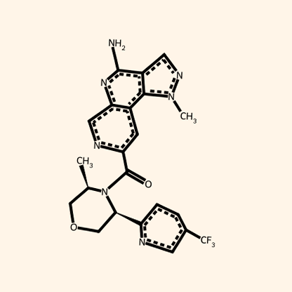 C[C@@H]1COC[C@H](c2ccc(C(F)(F)F)cn2)N1C(=O)c1cc2c(cn1)nc(N)c1cnn(C)c12